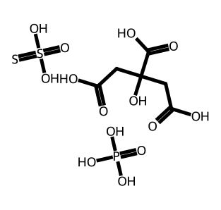 O=C(O)CC(O)(CC(=O)O)C(=O)O.O=P(O)(O)O.O=S(O)(O)=S